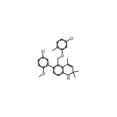 COc1ccc(Cl)cc1-c1ccc2c(c1COc1cc(Cl)ccc1C)C(C)=CC(C)(C)N2